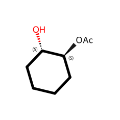 CC(=O)O[C@H]1CCCC[C@@H]1O